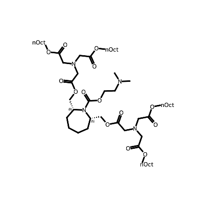 CCCCCCCCOC(=O)CN(CC(=O)OCCCCCCCC)CC(=O)OC[C@H]1CCCC[C@@H](COC(=O)CN(CC(=O)OCCCCCCCC)CC(=O)OCCCCCCCC)N1C(=O)OCCN(C)C